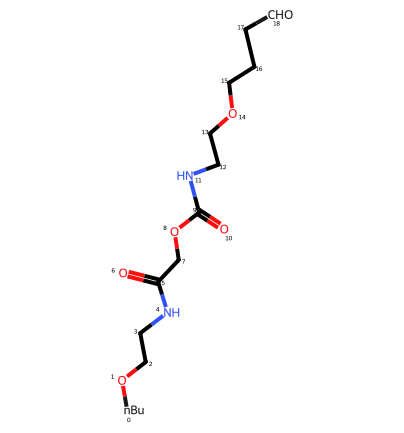 CCCCOCCNC(=O)COC(=O)NCCOCCCC=O